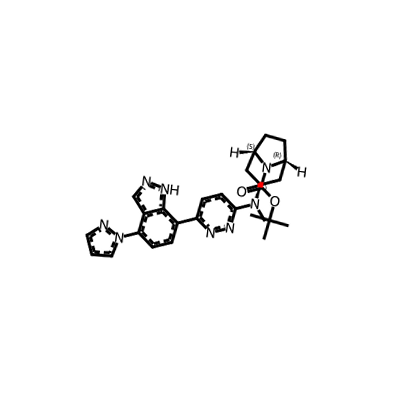 CN(c1ccc(-c2ccc(-n3cccn3)c3cn[nH]c23)nn1)[C@@H]1C[C@H]2CC[C@@H](C1)N2C(=O)OC(C)(C)C